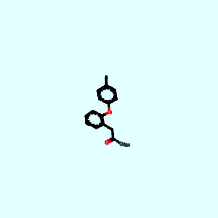 COC(=O)Cc1ccccc1Oc1ccc(C)cc1